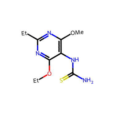 CCOc1nc(CC)nc(OC)c1NC(N)=S